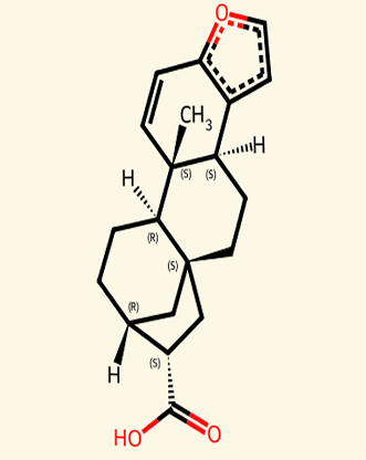 C[C@@]12C=Cc3occc3[C@H]1CC[C@@]13C[C@@H](CC[C@H]12)[C@@H](C(=O)O)C3